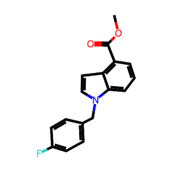 COC(=O)c1cccc2c1ccn2Cc1ccc(F)cc1